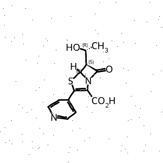 C[C@@H](O)[C@H]1C(=O)N2C(C(=O)O)=C(c3ccncc3)S[C@H]12